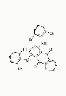 CCc1cccc(CC)c1Nc1ccc(Nc2c(CC)cccc2CC)c2c1C(=O)c1ccccc1C2=O